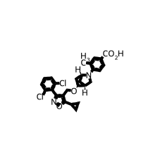 Cc1cc(C(=O)O)ccc1N1C[C@@H]2C[C@H]1C[C@H]2OCc1c(-c2c(Cl)cccc2Cl)noc1C1CC1